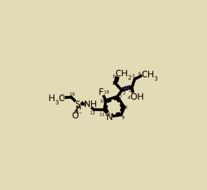 C=C/C(=C(/O)CC)c1ccnc(CN[S@@+]([O-])CC)c1F